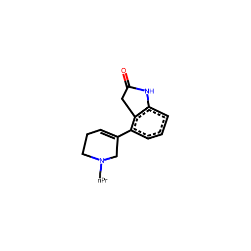 CCCN1CCC=C(c2cccc3c2CC(=O)N3)C1